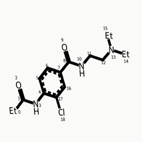 CCC(=O)Nc1ccc(C(=O)NCCN(CC)CC)cc1Cl